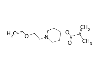 C=COCCN1CCC(OC(=O)C(=C)C)CC1